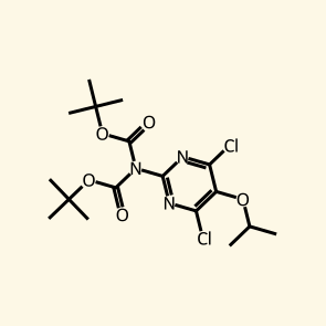 CC(C)Oc1c(Cl)nc(N(C(=O)OC(C)(C)C)C(=O)OC(C)(C)C)nc1Cl